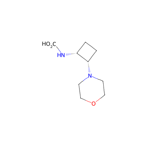 O=C(O)N[C@@H]1CC[C@@H]1N1CCOCC1